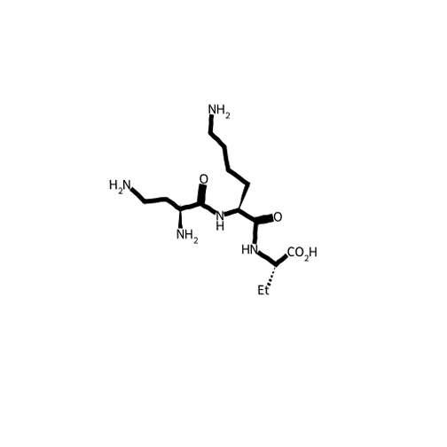 CC[C@H](NC(=O)[C@H](CCCCN)NC(=O)[C@@H](N)CCN)C(=O)O